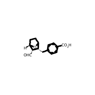 O=C[C@@H]1[C@@H]2CCC(O2)[C@@H]1Cc1ccc(C(=O)O)cc1